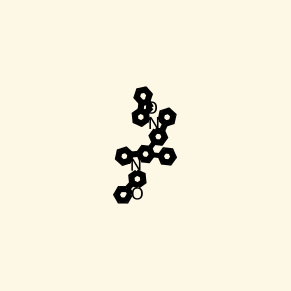 c1ccc(-c2cc3c(cc2-c2ccc4c5ccccc5n(-c5cccc6c5oc5ccccc56)c4c2)c2ccccc2n3-c2ccc3oc4ccccc4c3c2)cc1